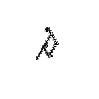 C=C(CCCCCCCN(CCCCCCCC(=O)OC(CCCCCCCC)CCCCCCCC)CCCn1ccnc1)OCCCCCCCCC